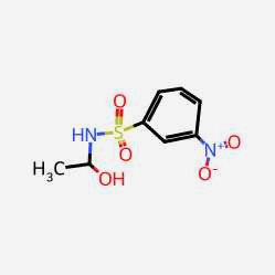 CC(O)NS(=O)(=O)c1cccc([N+](=O)[O-])c1